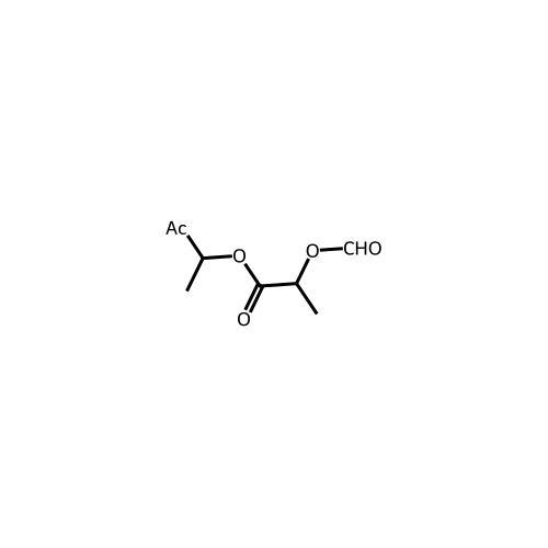 CC(=O)C(C)OC(=O)C(C)OC=O